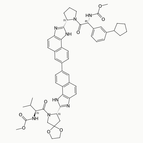 COC(=O)N[C@H](C(=O)N1CC2(C[C@H]1c1nc3ccc4cc(-c5ccc6c(ccc7nc([C@@H]8CCCN8C(=O)[C@H](NC(=O)OC)c8cccc(C9CCCC9)c8)[nH]c76)c5)ccc4c3[nH]1)OCCO2)C(C)C